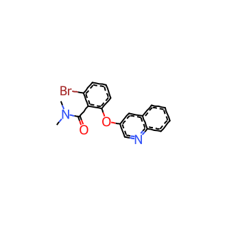 CN(C)C(=O)c1c(Br)cccc1Oc1cnc2ccccc2c1